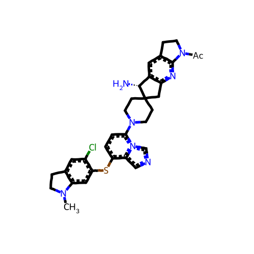 CC(=O)N1CCc2cc3c(nc21)CC1(CCN(c2ccc(Sc4cc5c(cc4Cl)CCN5C)c4cncn24)CC1)[C@@H]3N